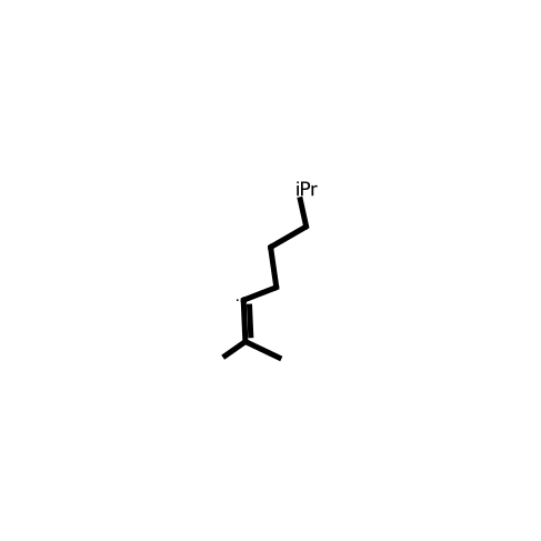 CC(C)=[C]CCCC(C)C